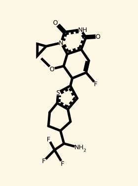 COC1c2c(c(=O)[nH]c(=O)n2C2CC2)C=C(F)C1c1cc2c(s1)CCC(C(N)C(F)(F)F)C2